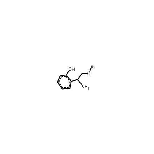 CCOCC(C)c1ccccc1O